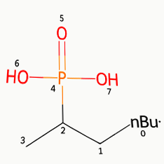 CCC[CH]CC(C)P(=O)(O)O